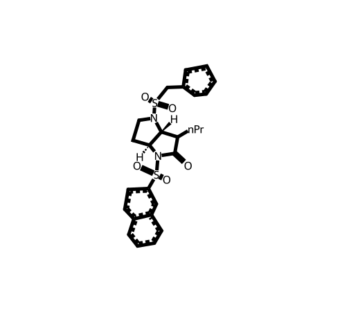 CCCC1C(=O)N(S(=O)(=O)c2ccc3ccccc3c2)[C@H]2CCN(S(=O)(=O)Cc3ccccc3)[C@H]12